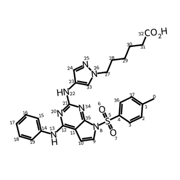 Cc1ccc(S(=O)(=O)n2ccc3c(Nc4ccccc4)nc(Nc4cnn(CCCCCC(=O)O)c4)nc32)cc1